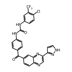 O=C(Nc1ccc(C(=O)c2ccc3ncc(-c4cc[nH]n4)nc3c2)cc1)Nc1ccc(Cl)c(C(F)(F)F)c1